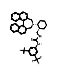 FC(F)(F)c1cc(NC(=S)NC[C@@H]2CCCC[C@H]2N2Cc3ccc4ccccc4c3-c3c(ccc4ccccc34)C2)cc(C(F)(F)F)c1